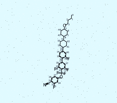 CCCCOC1CCC(C2CCC(c3ccc(-c4cc(F)c(C(F)(F)Oc5ccc(C#N)c(F)c5)c(F)c4)c(F)c3)CC2)CC1